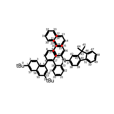 CC(C)(C)c1ccc2c(-c3ccc(-c4ccccc4)cc3-c3ccccc3N(c3ccc(-c4ccccc4)cc3)c3ccc4c(c3)C(C)(C)c3ccccc3-4)cc(C(C)(C)C)cc2c1